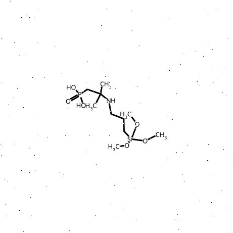 CO[Si](CCCNC(C)(C)CP(=O)(O)O)(OC)OC